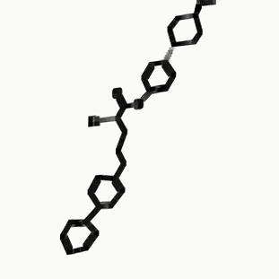 CCCC[C@H]1CC[C@H](c2ccc(OC(=O)C(CC)CCCc3ccc(-c4ccccc4)cc3)cc2)CC1